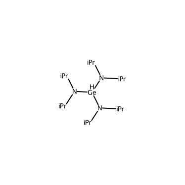 CC(C)[N](C(C)C)[GeH]([N](C(C)C)C(C)C)[N](C(C)C)C(C)C